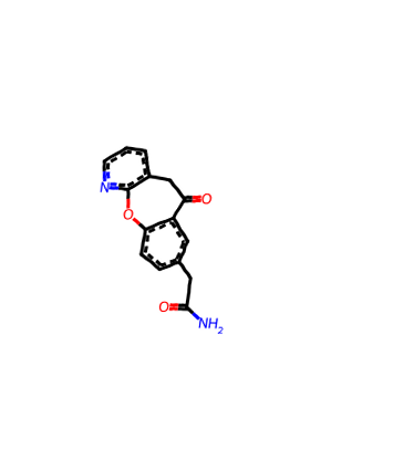 NC(=O)Cc1ccc2c(c1)C(=O)Cc1cccnc1O2